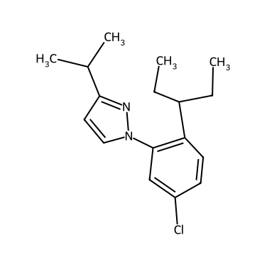 CCC(CC)c1ccc(Cl)cc1-n1ccc(C(C)C)n1